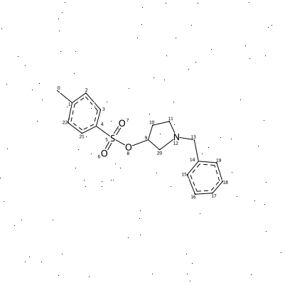 Cc1ccc(S(=O)(=O)OC2CCN(Cc3ccccc3)C2)cc1